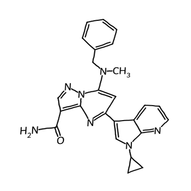 CN(Cc1ccccc1)c1cc(-c2cn(C3CC3)c3ncccc23)nc2c(C(N)=O)cnn12